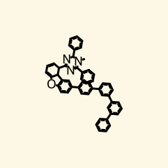 CN1C(c2ccccc2)=NC(C2C=CC=C3Oc4ccc(-c5ccc(-c6cccc(-c7cccc(-c8ccccc8)c7)c6)cc5)cc4C32)=NC1c1ccccc1